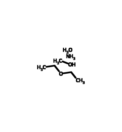 CCOCC.CO.N.O